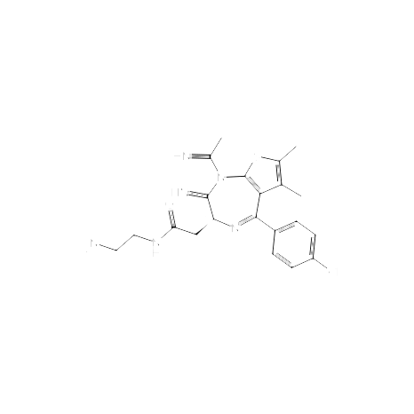 CC(=N)N1C(=N)[C@H](CC(=O)NCCN)N=C(c2ccc(Cl)cc2)c2c1sc(C)c2C